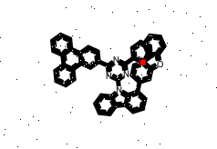 c1ccc(-c2nc(-c3ccc4c5ccccc5c5ccccc5c4c3)nc(-n3c4ccccc4c4cccc(-c5ccc6c(c5)oc5ccccc56)c43)n2)cc1